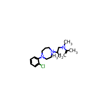 C=C(C)N(C)CC(C)N1CCCN(c2ccccc2Cl)CC1